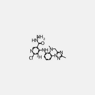 [2H]c1c(Cl)ncc(C(=O)NN)c1Nc1cccc2c1N(C)Cc1nc(C)nn1-2